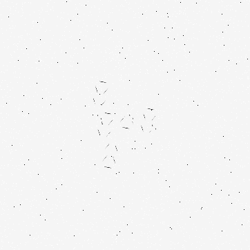 c1ccc2cc(-c3ccc4nc(-c5ccc6ccccc6c5)cc(-c5ccc(-c6ccnc7ccccc67)nc5)c4c3)ccc2c1